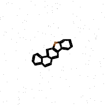 c1ccc2c(c1)ccc1cc3c(cc12)sc1ccccc13